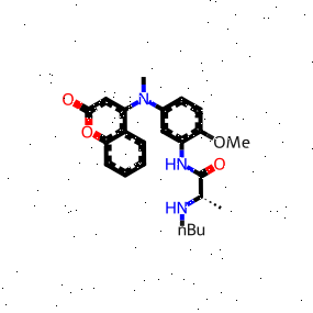 CCCCN[C@@H](C)C(=O)Nc1cc(N(C)c2cc(=O)oc3ccccc23)ccc1OC